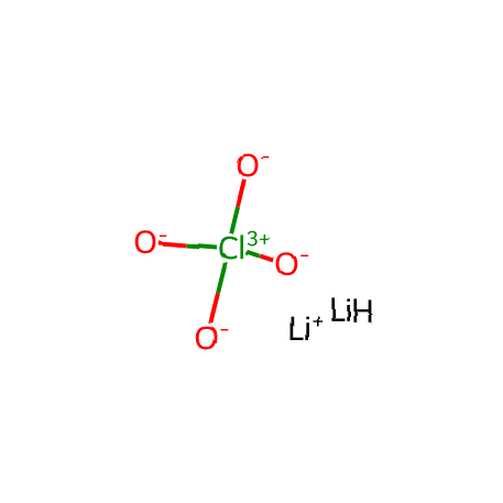 [Li+].[LiH].[O-][Cl+3]([O-])([O-])[O-]